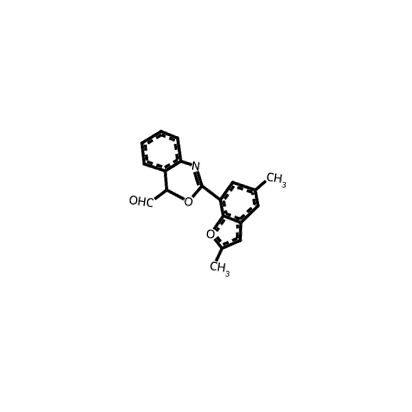 Cc1cc(C2=Nc3ccccc3C(C=O)O2)c2oc(C)cc2c1